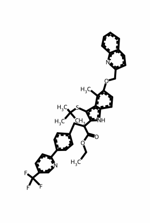 CCOC(=O)C(Cc1ccc(-c2ccc(C(F)(F)F)cn2)cc1)c1[nH]c2ccc(OCc3ccc4ccccc4n3)c(C)c2c1SC(C)(C)C